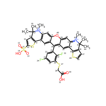 CN1c2cc3c(cc2-c2sc(S(=O)(=O)O)cc2C1(C)C)C(c1cc(F)cc(SCC(=O)O)c1F)=c1cc2c(cc1O3)=[N+](C)C(C)(C)c1ccsc1-2